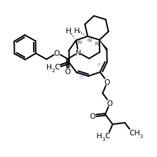 C=C1/C=C\C(OCOC(=O)C(C)CC)=C/C[C@]23CCCC[C@@H]2[C@H](C1)N(C(=O)OCc1ccccc1)CC3